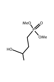 COP(=O)(CCC(C)O)OC